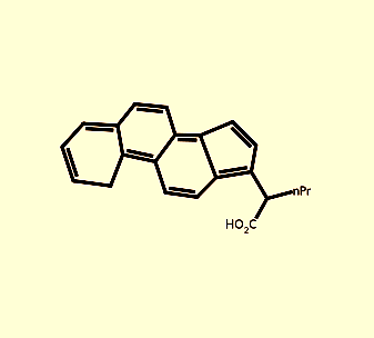 CCCC(C(=O)O)C1=c2ccc3c4c(ccc3c2C=C1)=CC=CC4